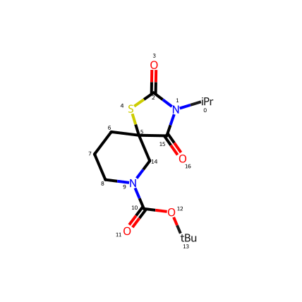 CC(C)N1C(=O)SC2(CCCN(C(=O)OC(C)(C)C)C2)C1=O